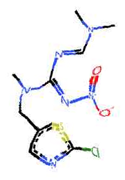 CN(C)C=NC(=N[N+](=O)[O-])N(C)Cc1cnc(Cl)s1